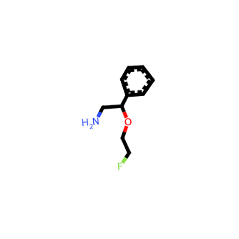 NCC(OCCF)c1ccccc1